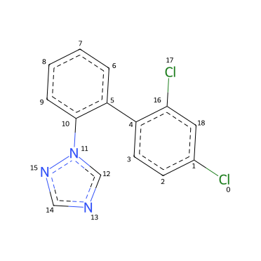 Clc1ccc(-c2ccccc2-n2cncn2)c(Cl)c1